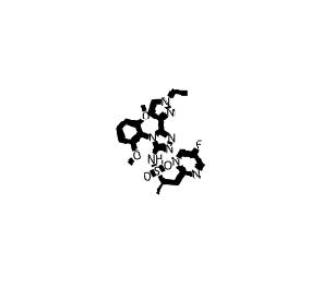 CCn1ccc(-c2nnc(NS(=O)(=O)[C@H](C)Cc3ncc(F)cn3)n2-c2c(OC)cccc2OC)n1